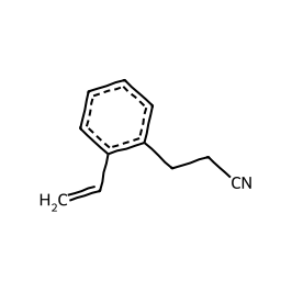 C=Cc1ccccc1CCC#N